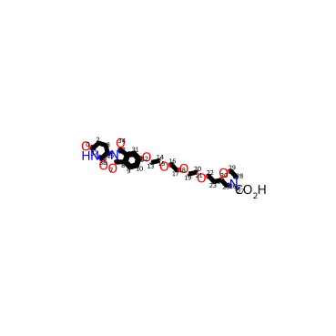 O=C1CCC(N2C(=O)c3ccc(OCCOCCOCCOCCC4CN(C(=O)O)CCO4)cc3C2=O)C(=O)N1